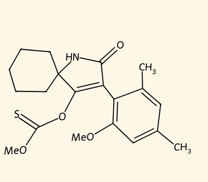 COC(=S)OC1=C(c2c(C)cc(C)cc2OC)C(=O)NC12CCCCC2